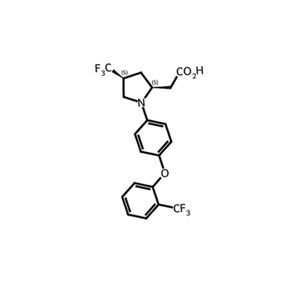 O=C(O)C[C@@H]1C[C@H](C(F)(F)F)CN1c1ccc(Oc2ccccc2C(F)(F)F)cc1